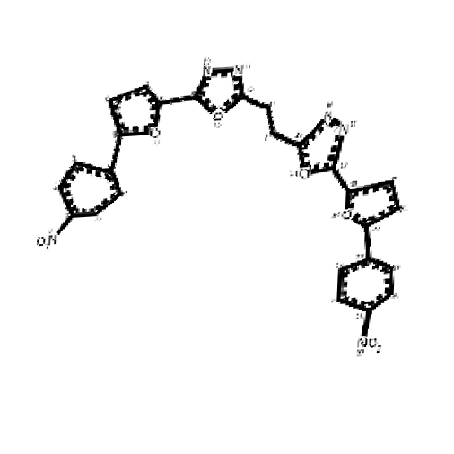 O=[N+]([O-])c1ccc(-c2ccc(-c3nnc(CCc4nnc(-c5ccc(-c6ccc([N+](=O)[O-])cc6)o5)o4)o3)o2)cc1